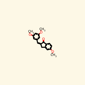 COc1cc(C=C2Cc3cc(OC)ccc3C2=O)cc(OC)c1